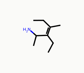 CCC(C)=C(CC)C(C)N